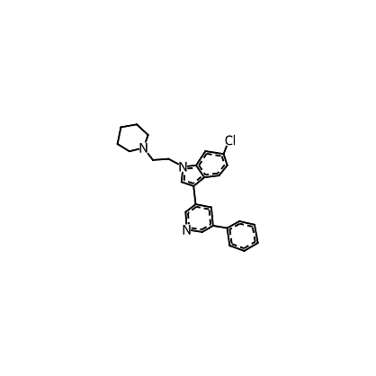 Clc1ccc2c(-c3cncc(-c4ccccc4)c3)cn(CCN3CCCCC3)c2c1